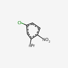 CCCc1cc(Cl)ccc1[N+](=O)[O-]